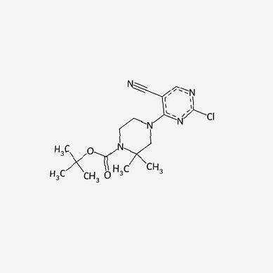 CC(C)(C)OC(=O)N1CCN(c2nc(Cl)ncc2C#N)CC1(C)C